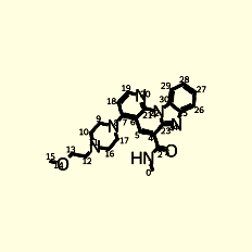 CNC(=O)c1cc2c(N3CCN(CCOC)CC3)ccnc2n2c1nc1ccccc12